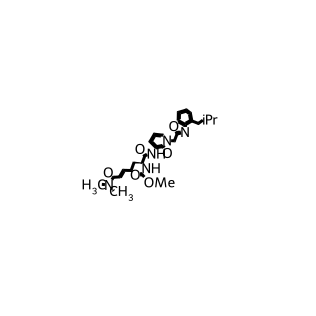 COC(=O)N[C@@H](CC/C=C/C(=O)N(C)C)C(=O)Nc1cccn(Cc2nc3c(CC(C)C)cccc3o2)c1=O